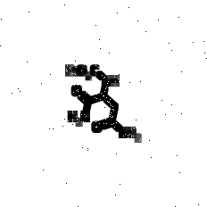 CCOC(=O)NC(CC(N)=O)C(N)=O